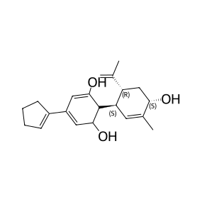 C=C(C)[C@@H]1C[C@H](O)C(C)=C[C@H]1C1C(O)=CC(C2=CCCC2)=CC1O